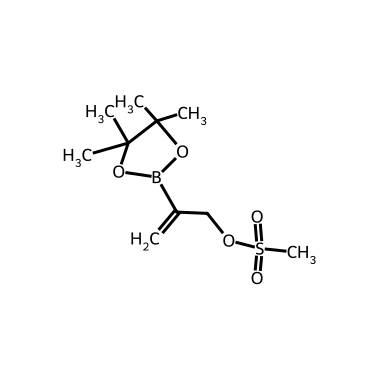 C=C(COS(C)(=O)=O)B1OC(C)(C)C(C)(C)O1